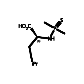 CC(C)C[C@H](NP(C)(C)=S)C(=O)O